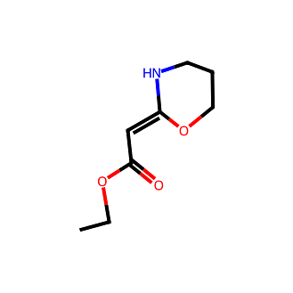 CCOC(=O)/C=C1/NCCCO1